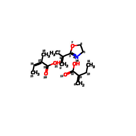 C=C(C)C1=NCCO1.C=C(CC)C(=O)O.CC=C(C)C(=O)O